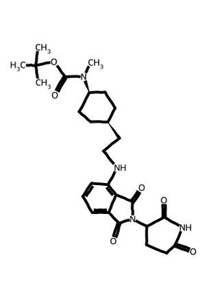 CN(C(=O)OC(C)(C)C)[C@H]1CC[C@@H](CCNc2cccc3c2C(=O)N(C2CCC(=O)NC2=O)C3=O)CC1